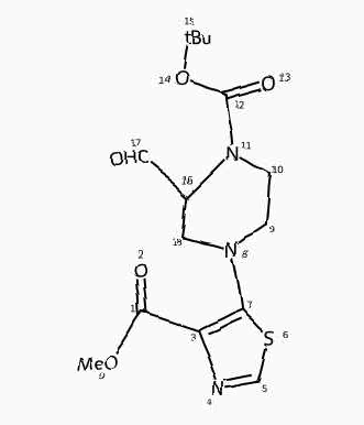 COC(=O)c1ncsc1N1CCN(C(=O)OC(C)(C)C)C(C=O)C1